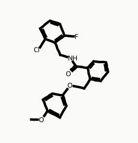 COc1ccc(OCc2ccccc2C(=O)NCc2c(F)cccc2Cl)cc1